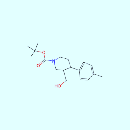 Cc1ccc(C2CCN(C(=O)OC(C)(C)C)CC2CO)cc1